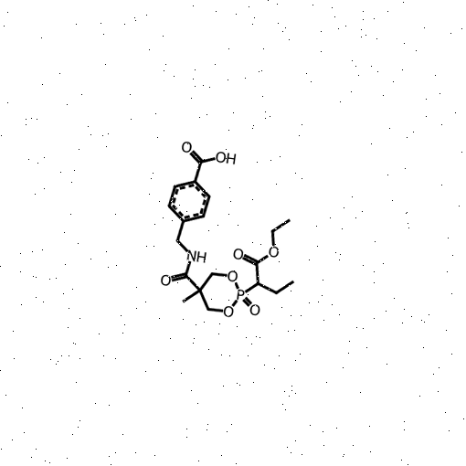 CCOC(=O)C(CC)P1(=O)OCC(C)(C(=O)NCc2ccc(C(=O)O)cc2)CO1